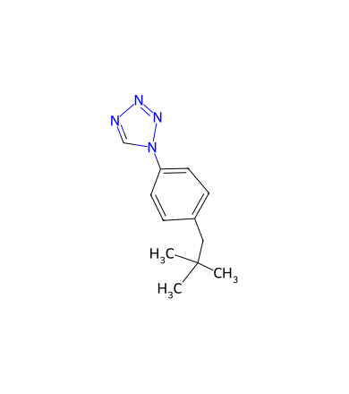 CC(C)(C)Cc1ccc(-n2cnnn2)cc1